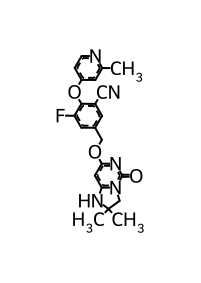 Cc1cc(Oc2c(F)cc(COc3cc4n(c(=O)n3)CC(C)(C)N4)cc2C#N)ccn1